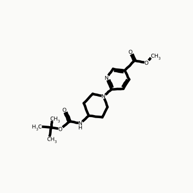 COC(=O)c1ccc(N2CCC(NC(=O)OC(C)(C)C)CC2)nc1